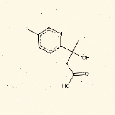 CC(O)(CC(=O)O)c1ccc(F)cn1